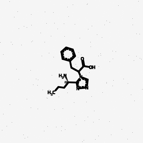 CCC[C@H](N)c1nncn1C(Cc1ccccc1)C(=O)O